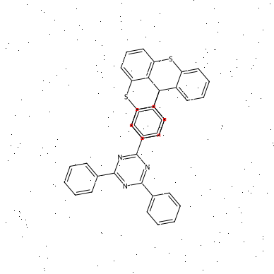 c1ccc(-c2nc(-c3ccccc3)nc(-c3ccc(C45c6ccccc6Sc6cccc(c64)Sc4ccccc45)cc3)n2)cc1